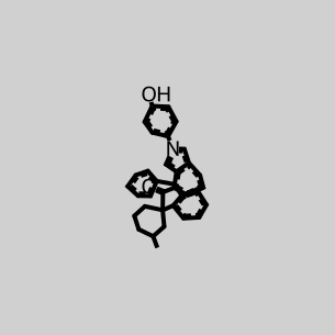 CC1CCCC(C(=O)c2cccc3cn(-c4ccc(O)cc4)cc23)(c2ccccc2Cc2ccccc2)C1